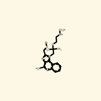 CCOCc1nc2c(N)nc3ccccc3c2n1CC(C)(C)OCCNC(=O)O